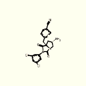 N#Cc1ccc(C[C@@]23C[C@H](N)CN2C(=O)N(c2cc(Cl)cc(Cl)c2)C3=O)cc1